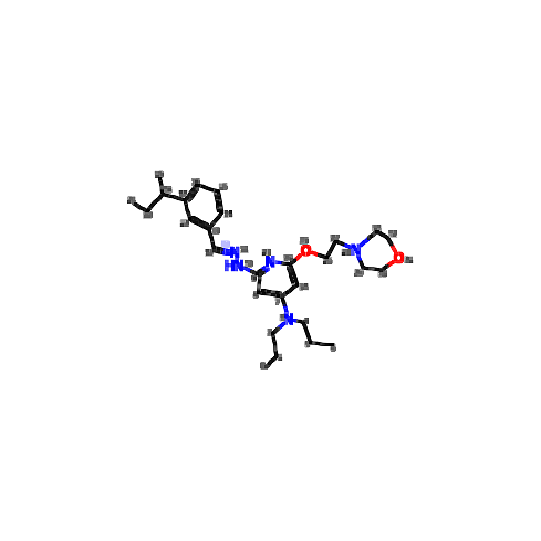 CCCN(CCC)c1cc(N/N=C/c2cccc(C(C)CC)c2)nc(OCCN2CCOCC2)c1